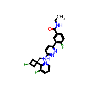 CCNC(=O)c1ccc(F)c(-c2ccc(NC[C@]3(c4ncccc4F)C[C@H](F)C3)nn2)c1